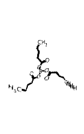 CCCCC(=O)OB(OC(=O)CCCC)OC(=O)CCCC.N.[HH]